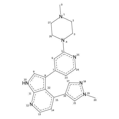 CN1CCN(c2cc(-c3c[nH]c4nccc(-c5cnn(C)c5)c34)ccn2)CC1